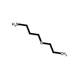 CCCOCCC[SiH3]